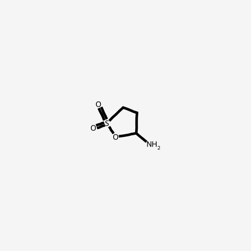 NC1CCS(=O)(=O)O1